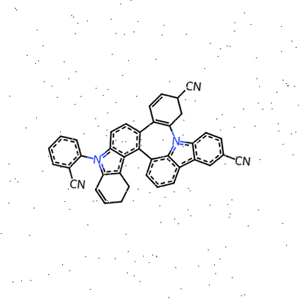 N#Cc1ccc2c(c1)c1cccc3c1n2C1=C(C=CC(C#N)C1)c1ccc2c(c4c(n2-c2ccccc2C#N)C=CCC4)c1-3